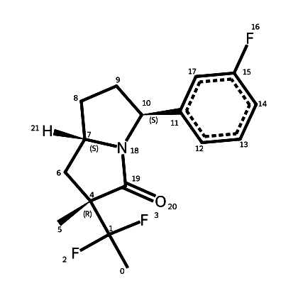 CC(F)(F)[C@]1(C)C[C@@H]2CC[C@@H](c3cccc(F)c3)N2C1=O